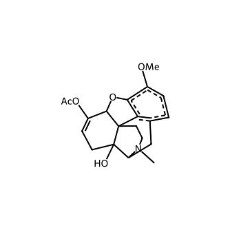 COc1ccc2c3c1OC1C(OC(C)=O)=CCC4(O)C(C2)N(C)CCC314